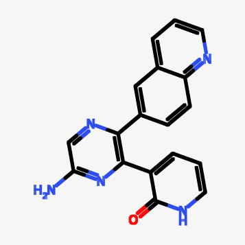 Nc1cnc(-c2ccc3ncccc3c2)c(-c2ccc[nH]c2=O)n1